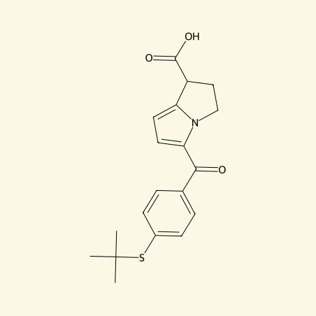 CC(C)(C)Sc1ccc(C(=O)c2ccc3n2CCC3C(=O)O)cc1